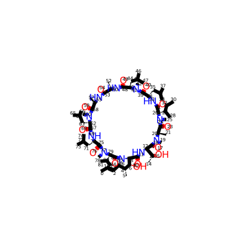 CC=CC[C@@H](C)[C@@H](O)[C@H]1C(=O)N[C@@H]([C@@H](C)O)C(=O)N(C)[C@H](C)C(=O)N(C)[C@@H](C(C)CC)C(=O)N[C@@H](CC(C)C)C(=O)N(C)[C@@H](CC(C)C)C(=O)N[C@@H](C)C(=O)N[C@H](C)C(=O)N(C)[C@@H](CC(C)C)C(=O)N[C@@H](CC(C)C)C(=O)N(C)[C@@H](C(C)C)C(=O)N1C